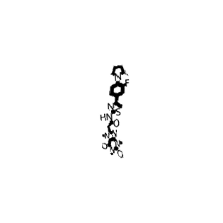 C[C@H]1CCCN1c1ccc(-c2csc(NC(=O)Cc3nc4c(c(=O)n(C)c(=O)n4C)n3C)n2)cc1F